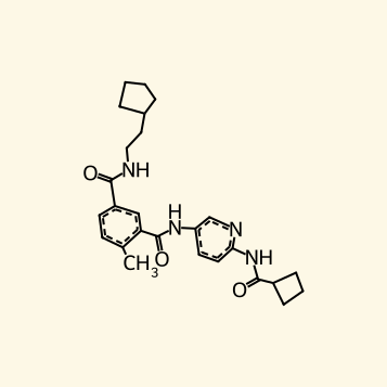 Cc1ccc(C(=O)NCCC2CCCC2)cc1C(=O)Nc1ccc(NC(=O)C2CCC2)nc1